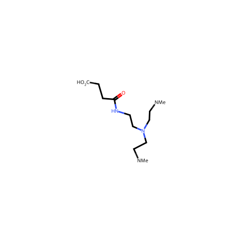 CNCCN(CCNC)CCNC(=O)CCC(=O)O